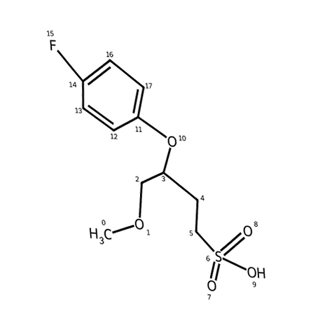 COCC(CCS(=O)(=O)O)Oc1ccc(F)cc1